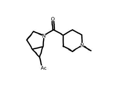 CC(=O)C1C2CCN(C(=O)C3CCN(C)CC3)C21